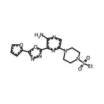 CCS(=O)(=O)N1CCN(c2cnc(N)c(-c3nnc(-c4ccco4)o3)n2)CC1